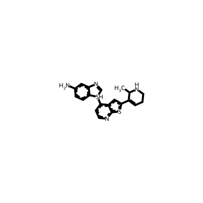 CC1NCCC=C1c1cc2c([SH]3C=Nc4cc(N)ccc43)ccnc2s1